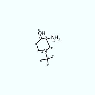 CC(C)(C)N1CCC(O)C(N)C1